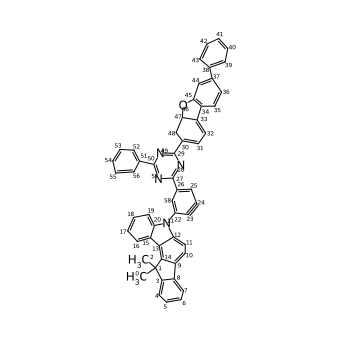 CC1(C)c2ccccc2-c2ccc3c(c21)c1ccccc1n3-c1c#ccc(-c2nc(C3=CC=C4c5ccc(-c6ccccc6)cc5OC4C3)nc(-c3ccccc3)n2)c1